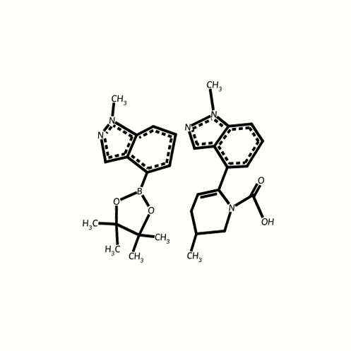 CC1CC=C(c2cccc3c2cnn3C)N(C(=O)O)C1.Cn1ncc2c(B3OC(C)(C)C(C)(C)O3)cccc21